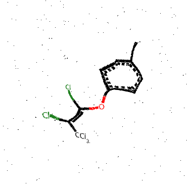 [CH2]c1ccc(O/C(Cl)=C(/Cl)C(Cl)(Cl)Cl)cc1